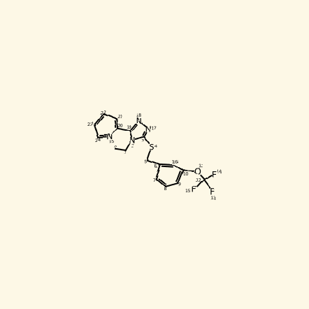 CCn1c(SCc2cccc(OC(F)(F)F)c2)nnc1-c1ccccn1